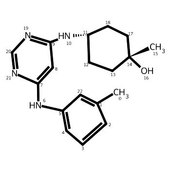 Cc1cccc(Nc2cc(N[C@H]3CC[C@@](C)(O)CC3)ncn2)c1